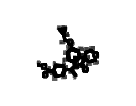 COC(=O)c1ccc(C(C)NC(=O)C2(c3cccc(OCC4CC4)c3)CCOCC2)cc1